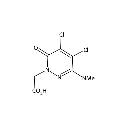 CNc1nn(CC(=O)O)c(=O)c(Cl)c1Cl